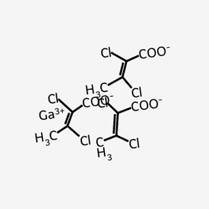 C/C(Cl)=C(\Cl)C(=O)[O-].C/C(Cl)=C(\Cl)C(=O)[O-].C/C(Cl)=C(\Cl)C(=O)[O-].[Ga+3]